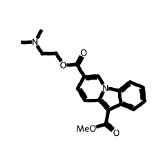 COC(=O)c1c2ccccc2n2cc(C(=O)OCCN(C)C)ccc12